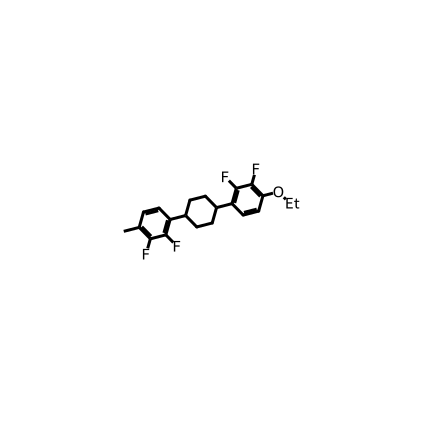 CCOc1ccc(C2CCC(c3ccc(C)c(F)c3F)CC2)c(F)c1F